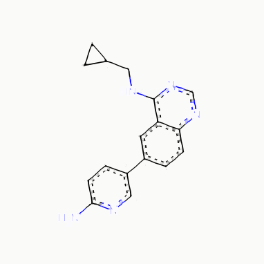 Nc1ccc(-c2ccc3ncnc(NCC4CC4)c3c2)cn1